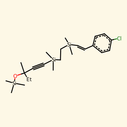 CCC(C)(C#C[Si](C)(C)CC[Si](C)(C)C=Cc1ccc(Cl)cc1)O[Si](C)(C)C